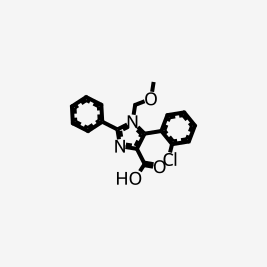 COCn1c(-c2ccccc2)nc(C(=O)O)c1-c1ccccc1Cl